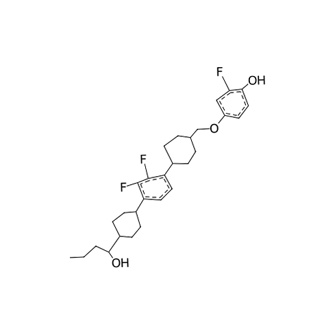 CCCC(O)C1CCC(c2ccc(C3CCC(COc4ccc(O)c(F)c4)CC3)c(F)c2F)CC1